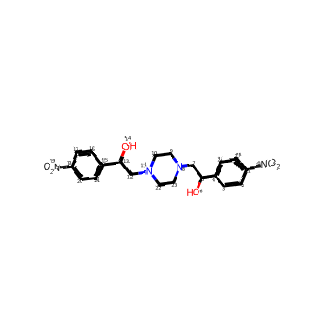 O=[N+]([O-])c1ccc(C(O)CN2CCN(CC(O)c3ccc([N+](=O)[O-])cc3)CC2)cc1